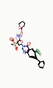 C[C@@](CCn1cnc2cc(-c3ccccc3)c(F)cc2c1=O)(C(=O)NOC1CCCCO1)S(C)(=O)=O